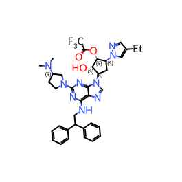 CCc1cnn([C@H]2C[C@@H](n3cnc4c(NCC(c5ccccc5)c5ccccc5)nc(N5CC[C@@H](N(C)C)C5)nc43)[C@H](O)[C@@H]2OC(=O)C(F)(F)F)c1